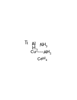 [AlH2][Cu].[AlH3].[AlH3].[GeH4].[Ti]